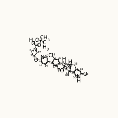 CC(C)(C)OC(=O)N1CCC(Oc2ccc(-c3cc(F)c(NC(=O)N4[C@H]5CC[C@@H]4c4c[nH]c(=O)cc4C5)cc3Cl)cn2)C1